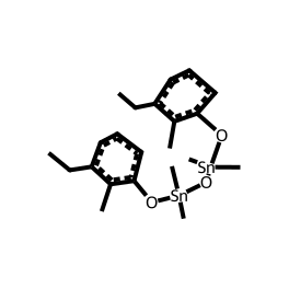 CCc1cccc([O][Sn]([CH3])([CH3])[O][Sn]([CH3])([CH3])[O]c2cccc(CC)c2C)c1C